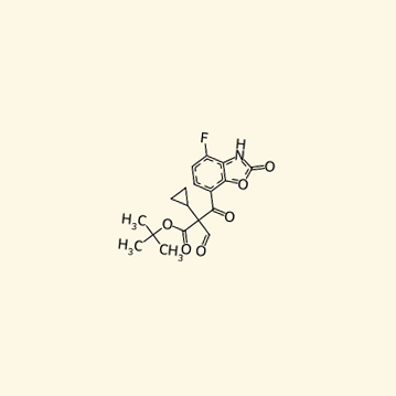 CC(C)(C)OC(=O)C(C=O)(C(=O)c1ccc(F)c2[nH]c(=O)oc12)C1CC1